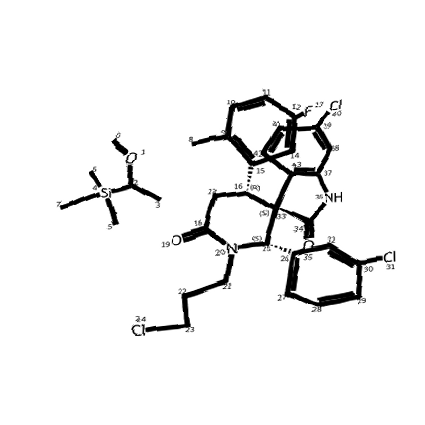 COC(C)[Si](C)(C)C.Cc1ccc(F)cc1[C@H]1CC(=O)N(CCCCl)[C@@H](c2cccc(Cl)c2)[C@]12C(=O)Nc1cc(Cl)ccc12